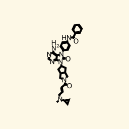 CN(CC=CC(=O)N1CC2CC(n3c(=O)n(-c4ccc(NC(=O)c5ccccc5)cc4)c4c(N)ncnc43)CC2C1)C1CC1